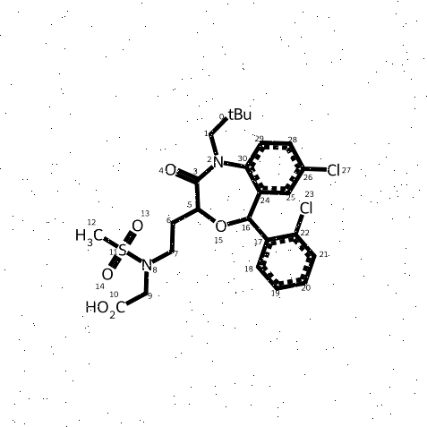 CC(C)(C)CN1C(=O)C(CCN(CC(=O)O)S(C)(=O)=O)OC(c2ccccc2Cl)c2cc(Cl)ccc21